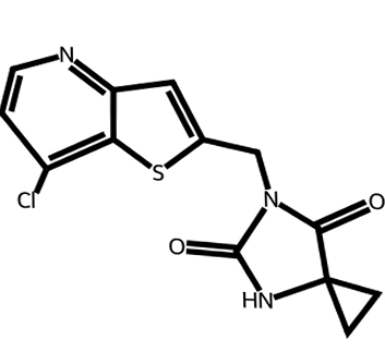 O=C1NC2(CC2)C(=O)N1Cc1cc2nccc(Cl)c2s1